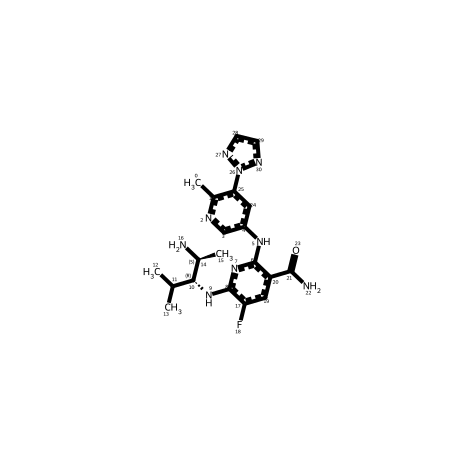 Cc1ncc(Nc2nc(N[C@H](C(C)C)[C@H](C)N)c(F)cc2C(N)=O)cc1-n1nccn1